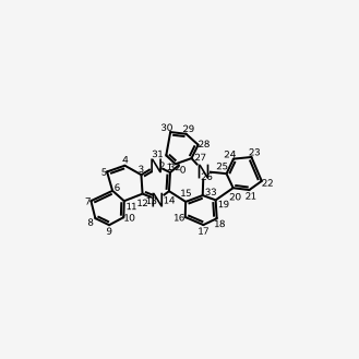 Cc1nc2ccc3ccccc3c2nc1-c1cccc2c3ccccc3n(-c3ccccc3)c12